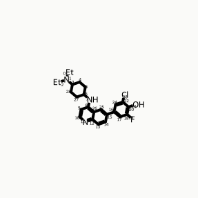 CCN(CC)C1CCC(Nc2[c]cnc3ccc(-c4cc(F)c(O)c(Cl)c4)cc23)CC1